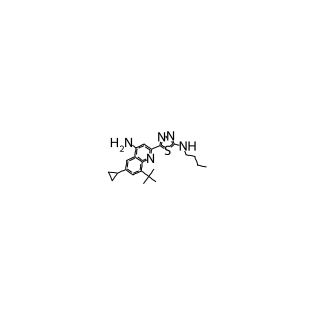 CCCCNc1nnc(-c2cc(N)c3cc(C4CC4)cc(C(C)(C)C)c3n2)s1